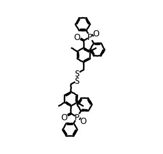 Cc1cc(CSSCc2cc(C)c(C(=O)P(=O)(c3ccccc3)c3ccccc3)c(C)c2)cc(C)c1C(=O)P(=O)(c1ccccc1)c1ccccc1